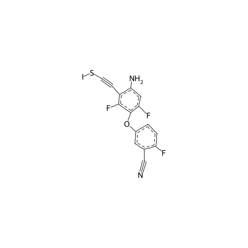 N#Cc1cc(Oc2c(F)cc(N)c(C#CSI)c2F)ccc1F